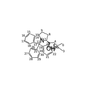 C[Si](C)(C)CC(O)[C@@H]1CCCN1C(c1ccccc1)(c1ccccc1)c1ccccc1